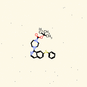 CC(C)(C)OC(=O)N1CCCN(c2nccc3ccc(Sc4ccccc4)cc23)CC1